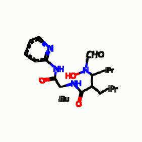 CC[C@H](C)[C@H](NC(=O)C(CC(C)C)C(C(C)C)N(O)C=O)C(=O)Nc1ccccn1